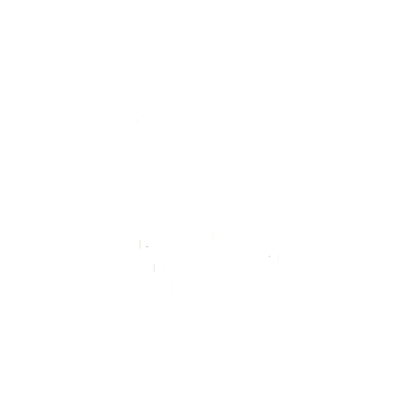 CCCCCCCCCCCCCC[P+](CCCCCC)(CCCCCC)CCCCCC.[Br-]